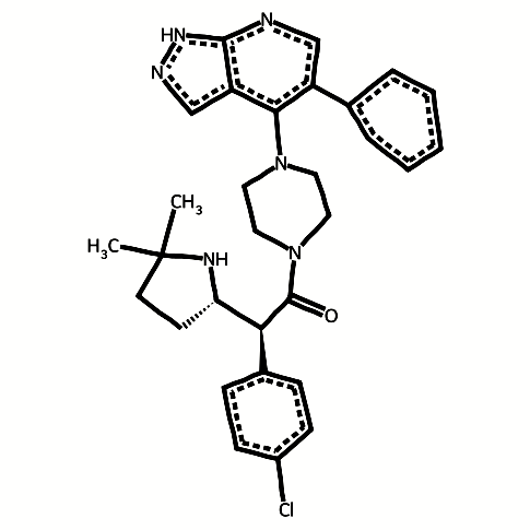 CC1(C)CC[C@@H]([C@@H](C(=O)N2CCN(c3c(-c4ccccc4)cnc4[nH]ncc34)CC2)c2ccc(Cl)cc2)N1